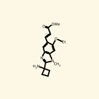 CCOc1cc2c(cc1/C=C/C(=O)OC)nc(C1(N)CCC1)n2C